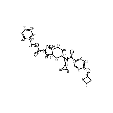 O=C(c1ccc(OC2CCC2)cc1)N(C1CC1)C1CCc2nn(C(=O)OCc3ccccc3)cc2C1